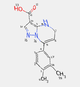 Cc1ccc(C2=CCNc3c(C(=O)O)cnn32)cc1C